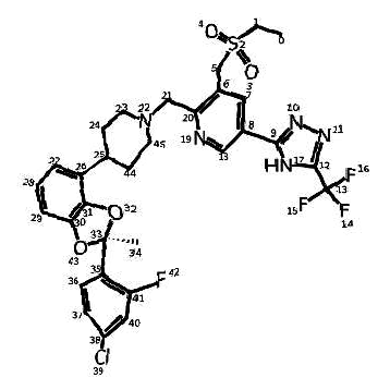 CCS(=O)(=O)Cc1cc(-c2nnc(C(F)(F)F)[nH]2)cnc1CN1CCC(c2cccc3c2O[C@@](C)(c2ccc(Cl)cc2F)O3)CC1